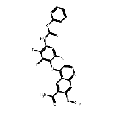 COc1cc2nccc(Oc3c(Cl)cc(NC(=O)Oc4ccccc4)c(F)c3F)c2cc1C(N)=O